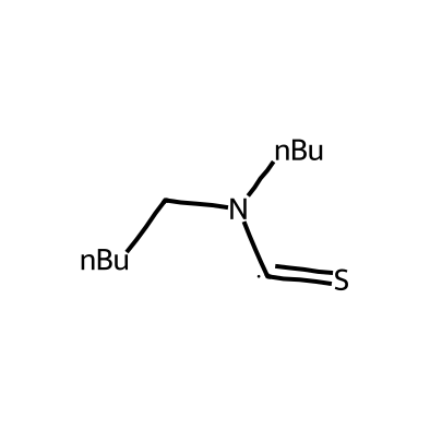 CCCCCN([C]=S)CCCC